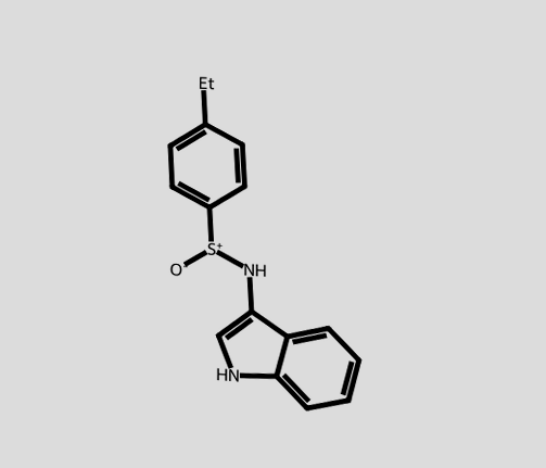 CCc1ccc([S+]([O-])Nc2c[nH]c3ccccc23)cc1